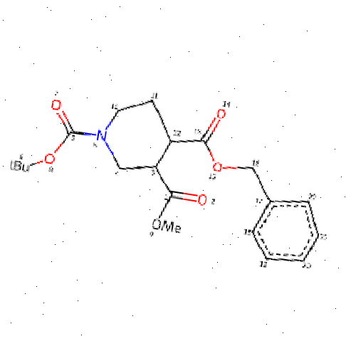 COC(=O)C1CN(C(=O)OC(C)(C)C)CCC1C(=O)OCc1ccccc1